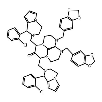 O=C(C(CN1CCn2cccc2C1c1ccccc1Cl)N1CCN(Cc2ccc3c(c2)OCO3)CC1)C(CN1CCn2cccc2C1c1ccccc1Cl)N1CCN(Cc2ccc3c(c2)OCO3)CC1